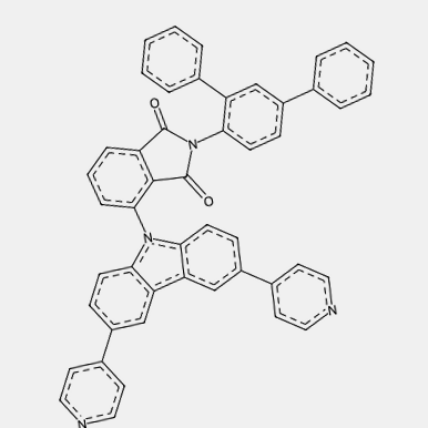 O=C1c2cccc(-n3c4ccc(-c5ccncc5)cc4c4cc(-c5ccncc5)ccc43)c2C(=O)N1c1ccc(-c2ccccc2)cc1-c1ccccc1